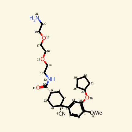 COc1ccc([C@]2(C#N)CC[C@@H](C(=O)NCCOCCOCCN)CC2)cc1OC1CCCC1